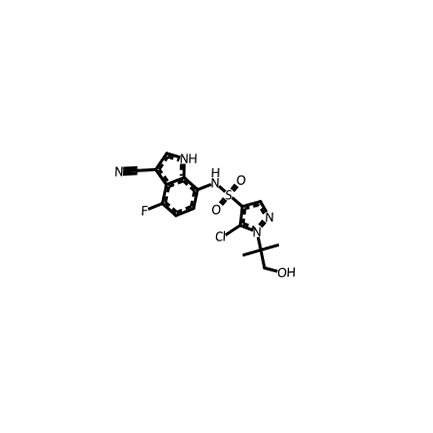 CC(C)(CO)n1ncc(S(=O)(=O)Nc2ccc(F)c3c(C#N)c[nH]c23)c1Cl